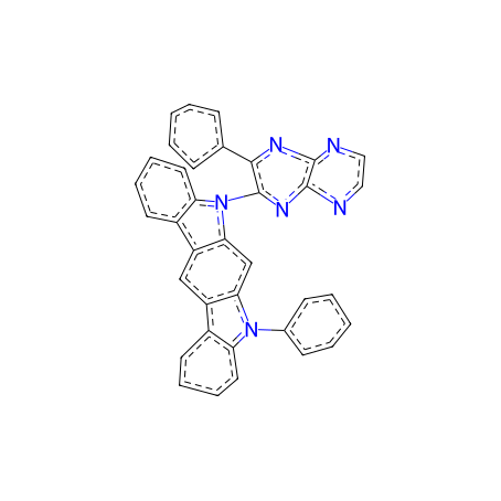 c1ccc(-c2nc3nccnc3nc2-n2c3ccccc3c3cc4c5ccccc5n(-c5ccccc5)c4cc32)cc1